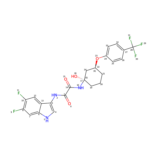 O=C(Nc1c[nH]c2cc(F)c(F)cc12)C(=O)N[C@]1(O)CCC[C@H](Oc2ccc(C(F)(F)F)cc2)C1